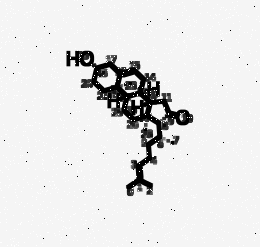 CC(C)=CCC[C@@H](C)[C@H]1C(=O)C[C@H]2[C@@H]3CC=C4C[C@@H](O)CC[C@]4(C)[C@H]3CC[C@]12C